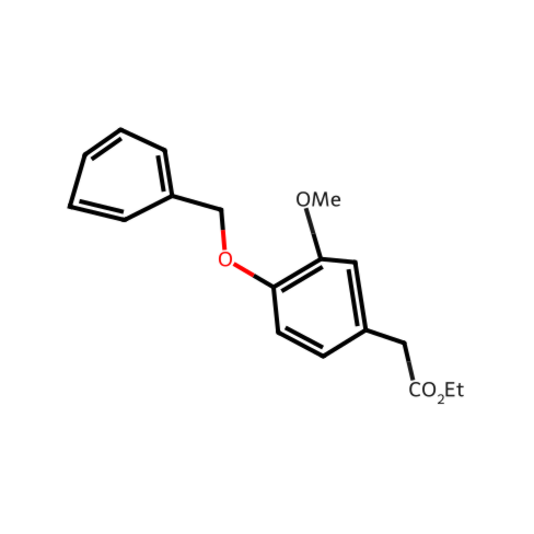 CCOC(=O)Cc1ccc(OCc2ccccc2)c(OC)c1